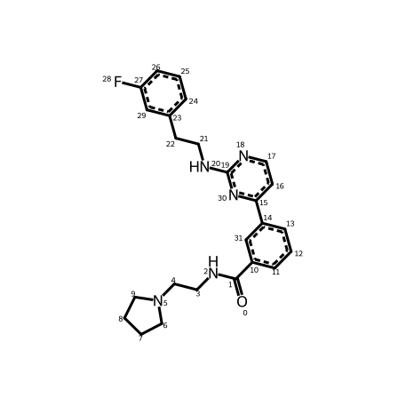 O=C(NCCN1CCCC1)c1cccc(-c2ccnc(NCCc3cccc(F)c3)n2)c1